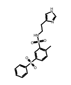 Cc1ccc(S(=O)(=O)c2ccccc2)cc1S(=O)(=O)NCCc1c[nH]cn1